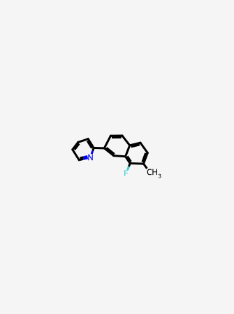 Cc1ccc2ccc(-c3ccccn3)cc2c1F